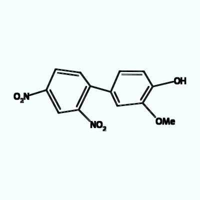 COc1cc(-c2ccc([N+](=O)[O-])cc2[N+](=O)[O-])ccc1O